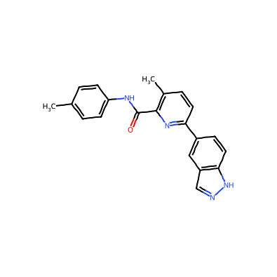 Cc1ccc(NC(=O)c2nc(-c3ccc4[nH]ncc4c3)ccc2C)cc1